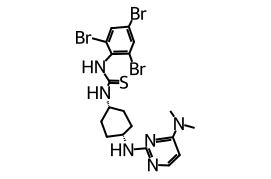 CN(C)c1ccnc(N[C@H]2CC[C@@H](NC(=S)Nc3c(Br)cc(Br)cc3Br)CC2)n1